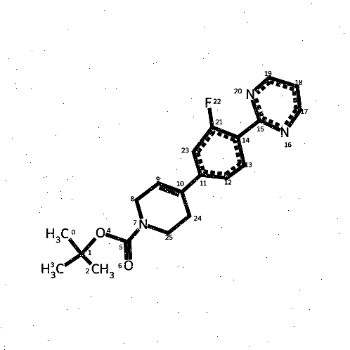 CC(C)(C)OC(=O)N1CC=C(c2ccc(-c3ncccn3)c(F)c2)CC1